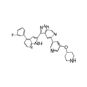 Fc1cccc(-c2ccnc3[nH]c(-c4n[nH]c5cnc(-c6cncc(OC7CCNCC7)c6)cc45)cc23)c1